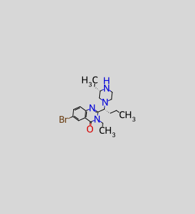 CCC[C@H](c1nc2ccc(Br)cc2c(=O)n1CC)N1CCN[C@@H](CC)C1